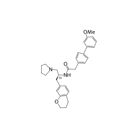 COc1cccc(-c2ccc(CC(=O)N[C@@H](Cc3ccc4c(c3)OCCC4)CN3CCCC3)cc2)c1